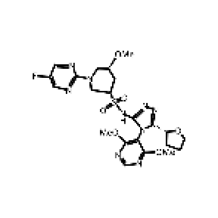 COc1ncnc(OC)c1-n1c(NS(=O)(=O)[C@@H]2C[C@H](OC)CN(c3ncc(F)cn3)C2)nnc1[C@H]1CCCO1